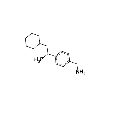 NCc1ccc(C(P)C[C]2CCCCC2)cc1